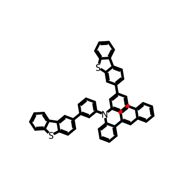 c1cc(-c2ccc3c(c2)sc2ccccc23)cc(N(c2cccc(-c3ccc4sc5ccccc5c4c3)c2)c2ccccc2-c2ccc3ccccc3c2)c1